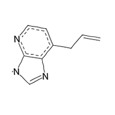 C=CCc1ccnc2c1N=C[N]2